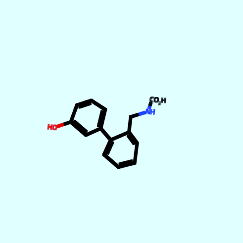 O=C(O)NCc1ccccc1-c1cccc(O)c1